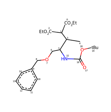 CCOC(=O)C(C(=O)OCC)C(C)C(COCc1ccccc1)NC(=O)OC(C)(C)C